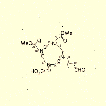 COC(=O)CN1CCN(CCCC=O)CCN(CC(=O)O)CCN(CC(=O)OC)CC1